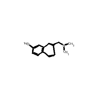 CN(C)CC1CCc2ccc(O)cc2C1